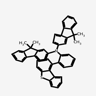 CC1(C)c2ccccc2-c2ccc(N(c3ccc4c(c3)C(C)(C)c3ccccc3-4)c3ccccc3-c3cccc4sc5ccccc5c34)cc21